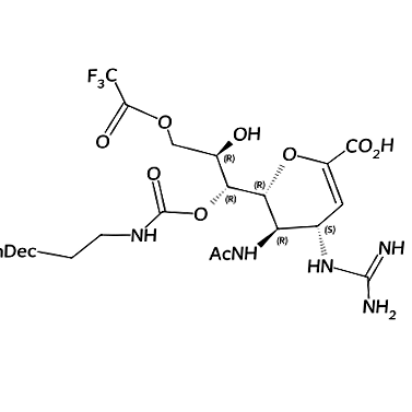 CCCCCCCCCCCCNC(=O)O[C@@H]([C@@H]1OC(C(=O)O)=C[C@H](NC(=N)N)[C@H]1NC(C)=O)[C@H](O)COC(=O)C(F)(F)F